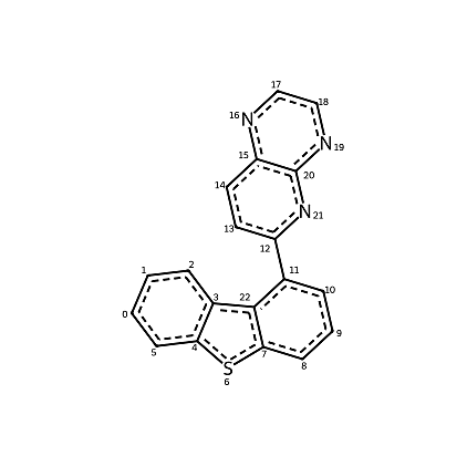 c1ccc2c(c1)sc1cccc(-c3ccc4nccnc4n3)c12